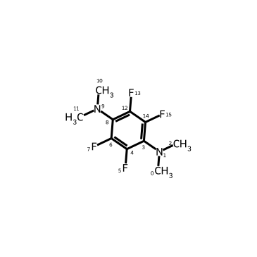 CN(C)c1c(F)c(F)c(N(C)C)c(F)c1F